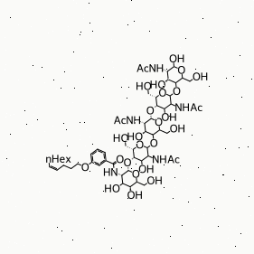 CCCCCC/C=C\CCCOc1cccc(C(=O)N[C@H]2C(O)[C@H](O)C(CO)O[C@H]2O[C@H]2C(O)C(NC(C)=O)C(OC3C(CO)O[C@@H](O[C@H]4C(O)C(NC(C)=O)C(OC5C(CO)OC(O)[C@@H](NC(C)=O)[C@@H]5O)O[C@H]4CO)[C@@H](NC(C)=O)[C@@H]3O)O[C@H]2CO)c1